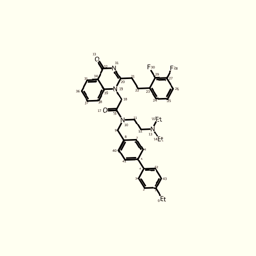 CCc1ccc(-c2ccc(CN(CCN(CC)CC)C(=O)Cn3c(CCc4cccc(F)c4F)nc(=O)c4ccccc43)cc2)cc1